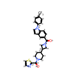 O=C(c1ccc2c(ccn2-c2ccc(C(F)(F)F)cc2)c1)N1CC(C2CCN(C(=O)c3nccs3)CC2)C1